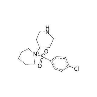 O=S(=O)(c1ccc(Cl)cc1)[N+]1(C2CCNCC2)CCCCC1